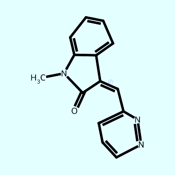 CN1C(=O)/C(=C\c2cccnn2)c2ccccc21